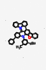 CCCCc1cc(C)cc(N2c3cc(-c4ccccc4)ccc3B3c4c(cc5c(oc6ccccc65)c42)-c2cccc4c5ccccc5n3c24)c1